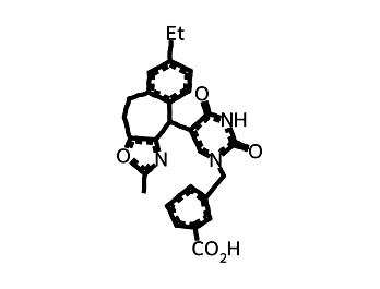 CCc1ccc2c(c1)CCc1oc(C)nc1C2c1cn(Cc2cccc(C(=O)O)c2)c(=O)[nH]c1=O